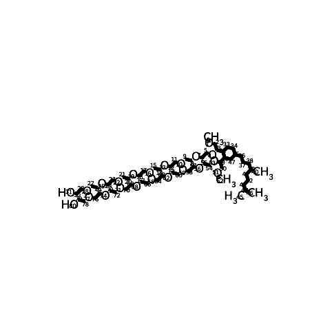 COCC(OCCOCCOCCOCCOCCOCCOCCOCCOCCO)C1CCC(CCCC(C)CCCC(C)C)CC1C(COC)OCCOCCOCCOCCOCCOCCOCCOCCOCCO